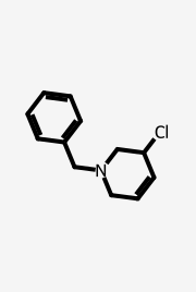 ClC1C=CCN(Cc2ccccc2)C1